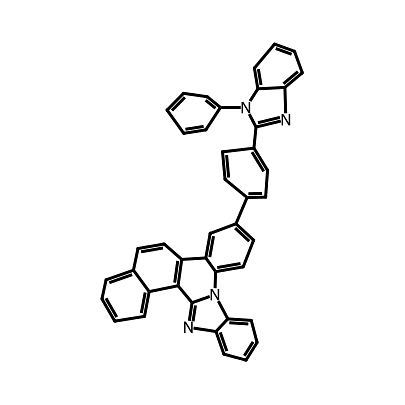 c1ccc(-n2c(-c3ccc(-c4ccc5c(c4)c4ccc6ccccc6c4c4nc6ccccc6n54)cc3)nc3ccccc32)cc1